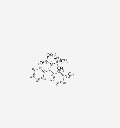 CC(C)(C)N(C(=O)O)[C@@H](c1ccccc1)c1cccc(O)c1